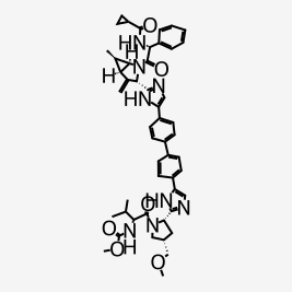 C=C1[C@H]2[C@@H](C)[C@H]2N(C(=O)[C@H](NC(=O)C2CC2)c2ccccc2)[C@@H]1c1ncc(-c2ccc(-c3ccc(-c4cnc([C@@H]5C[C@H](COC)CN5C(=O)[C@@H](NC(=O)OC)C(C)C)[nH]4)cc3)cc2)[nH]1